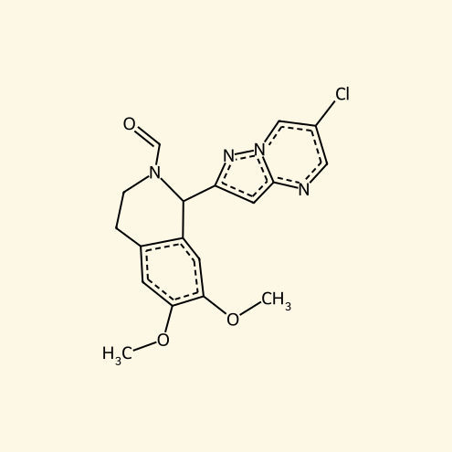 COc1cc2c(cc1OC)C(c1cc3ncc(Cl)cn3n1)N(C=O)CC2